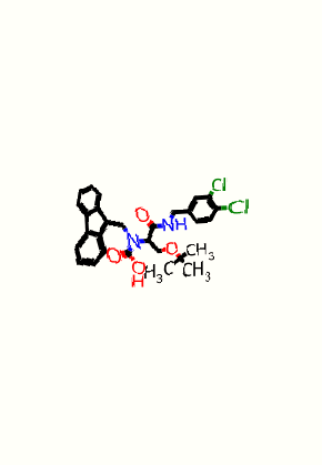 CC(C)(C)OCC(C(=O)NCc1ccc(Cl)c(Cl)c1)N(CC1c2ccccc2-c2ccccc21)C(=O)O